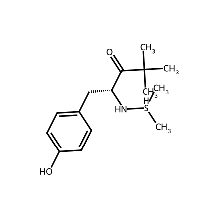 C[SH](C)N[C@H](Cc1ccc(O)cc1)C(=O)C(C)(C)C